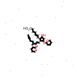 CC#CCCC(C)[C@@H](C=C[C@@H]1[C@@H](CC=CCCCC(=O)O)[C@@H](O)C[C@H]1OC1CCCCO1)OC1CCCCO1